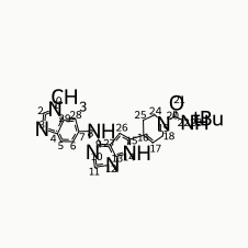 Cn1cnc2ccc(Nc3ncnc4[nH]c(C5=CCN(C(=O)NC(C)(C)C)CC5)cc34)cc21